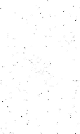 CC(C)c1ccccc1-c1cc(Sc2cc(-c3ccccc3C(C)C)c([C@@H]3C[C@H]3C(=O)N3CCCC3)c(Cl)c2Cl)c(Cl)c(Cl)c1[C@@H]1C[C@H]1C(=O)N1CCCC1